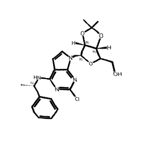 C[C@H](Nc1nc(Cl)nc2c1ccn2[C@@H]1OC(CO)[C@H]2OC(C)(C)O[C@H]21)c1ccccc1